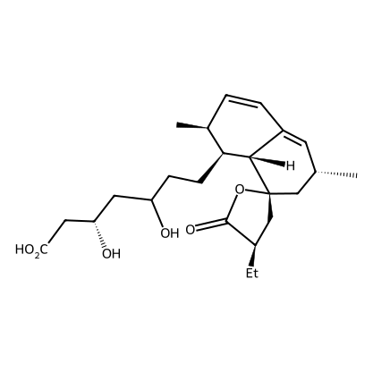 CC[C@@H]1C[C@@]2(C[C@@H](C)C=C3C=C[C@H](C)[C@H](CCC(O)C[C@H](O)CC(=O)O)[C@H]32)OC1=O